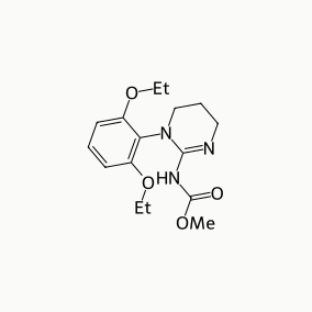 CCOc1cccc(OCC)c1N1CCCN=C1NC(=O)OC